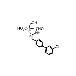 C[C@@](CO)(C[C@@H](Cc1ccc(-c2cccc(Cl)c2)cc1)NC=O)C(=O)O